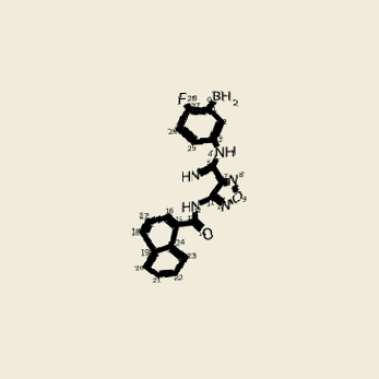 Bc1cc(NC(=N)c2nonc2NC(=O)c2cccc3ccccc23)ccc1F